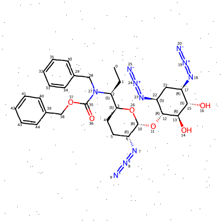 CC[C@@H]([C@@H]1CC[C@@H](N=[N+]=[N-])[C@@H](O[C@H]2[C@H](O)[C@@H](O)[C@H](N=[N+]=[N-])C[C@@H]2N=[N+]=[N-])O1)N(Cc1ccccc1)C(=O)OCc1ccccc1